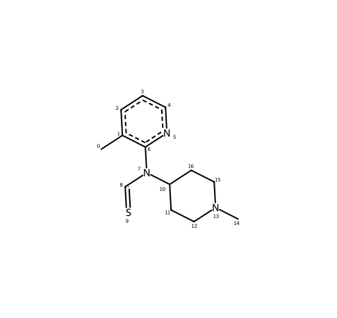 Cc1cccnc1N([C]=S)C1CCN(C)CC1